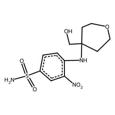 NS(=O)(=O)c1ccc(NC2(CO)CCOCC2)c([N+](=O)[O-])c1